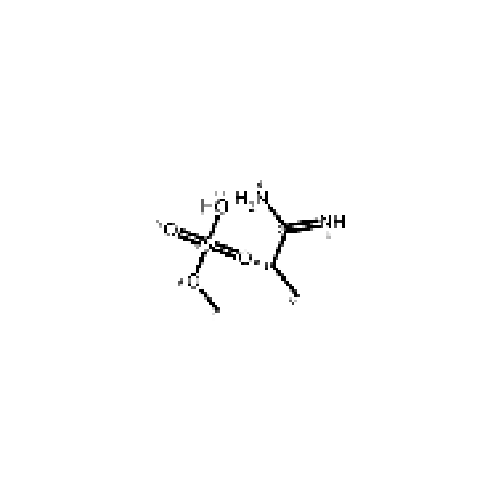 CCC(=N)N.COS(=O)(=O)O